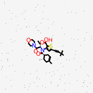 CC[C@@H](C(=O)N1CCOCC1)N(C(=O)[C@H]1CC=C(C)C[C@@H]1C)c1cc(C#CC(C)(C)C)sc1C(=O)O